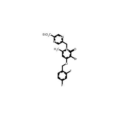 CCOC(=O)c1cnc(Cn2c(C)cc(OCc3ccc(F)cc3F)c(Br)c2=O)cn1